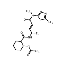 CC[C@@H](/C=C/C(=O)N(C)c1nnc(C(F)(F)F)s1)NC(=O)[C@@H]1CCCCN1OC(=O)C(F)(F)F